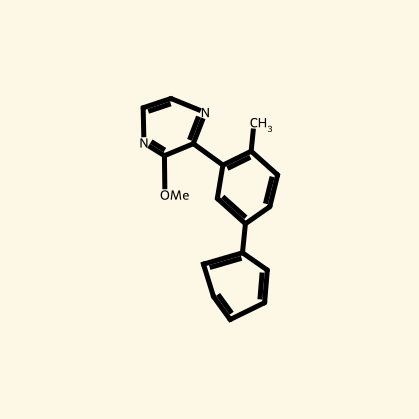 COc1nccnc1-c1cc(-c2ccccc2)ccc1C